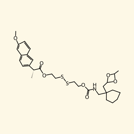 COc1ccc2cc([C@@H](C)C(=O)OCCSSCCOC(=O)NCC3(CC4OC(C)O4)CCCCC3)ccc2c1